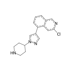 Clc1cc2c(-c3cnn(C4CCNCC4)c3)cccc2cn1